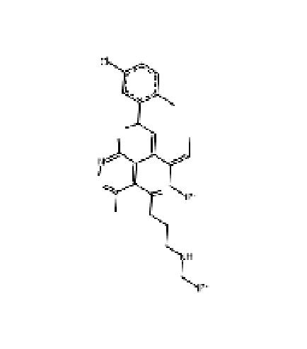 C=C(C)/C(C(=C)CCCNCC(C)C)=C(C(=CC(C)c1cc(Cl)ccc1C)/C(=C\C)CC(C)C)\C(C)=N/C